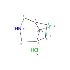 Cl.FC1(F)C2CCC1CNC2